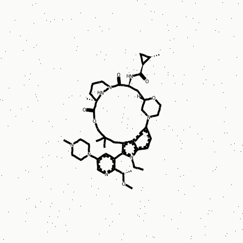 CCn1c(-c2cc(N3CCN(C)CC3)cnc2[C@H](C)OC)c2c3cc(ccc31)N1CCO[C@@H](C[C@H](NC(=O)[C@H]3C[C@@H]3C)C(=O)N3CCC[C@@](C)(N3)C(=O)OCC(C)(C)C2)C1